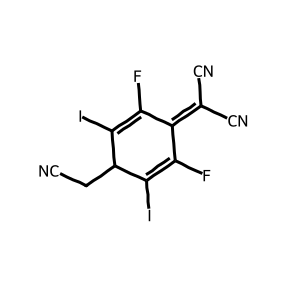 N#CCC1C(I)=C(F)C(=C(C#N)C#N)C(F)=C1I